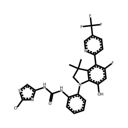 CC1(C)CN(c2ccccc2NC(=O)Nc2csc(Cl)n2)c2c(O)cc(F)c(-c3ccc(C(F)(F)F)cn3)c21